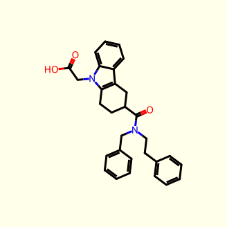 O=C(O)Cn1c2c(c3ccccc31)CC(C(=O)N(CCc1ccccc1)Cc1ccccc1)CC2